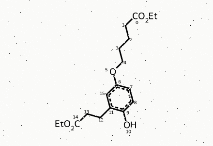 CCOC(=O)CCCCOc1ccc(O)c(CCC(=O)OCC)c1